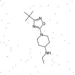 CCNC1CCN(c2nc(C(C)(C)C)no2)CC1